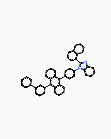 c1ccc(-c2cccc(-c3c4ccccc4c(-c4ccc(-n5c(-c6cccc7ccccc67)nc6ccccc65)cc4)c4ccccc34)c2)cc1